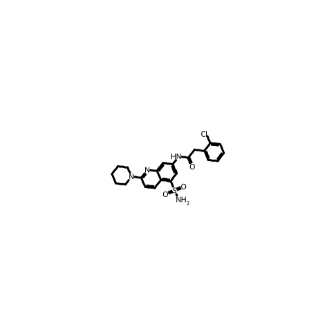 NS(=O)(=O)c1cc(NC(=O)Cc2ccccc2Cl)cc2nc(N3CCCCC3)ccc12